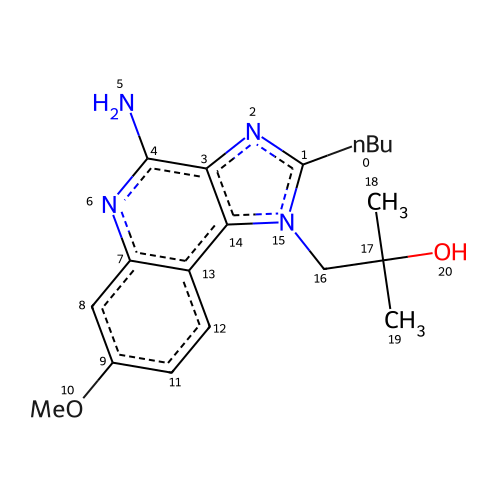 CCCCc1nc2c(N)nc3cc(OC)ccc3c2n1CC(C)(C)O